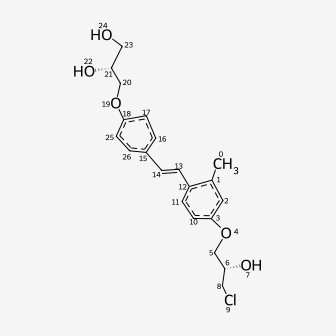 Cc1cc(OC[C@H](O)CCl)ccc1/C=C/c1ccc(OC[C@H](O)CO)cc1